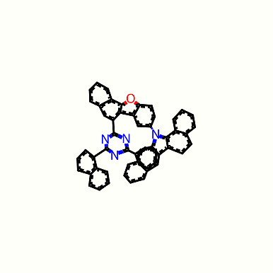 c1ccc(-c2nc(-c3cccc4ccccc34)nc(-c3cc4ccccc4c4oc5ccc(-n6c7cc8ccccc8cc7c7ccc8ccccc8c76)cc5c34)n2)cc1